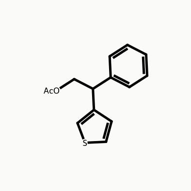 CC(=O)OCC(c1ccccc1)c1ccsc1